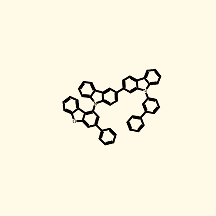 c1ccc(-c2cccc(-n3c4ccccc4c4ccc(-c5ccc6c(c5)c5ccccc5n6-c5cc(-c6ccccc6)cc6oc7ccccc7c56)cc43)c2)cc1